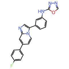 Fc1ccc(-c2ccn3c(-c4cccc(Nc5nnco5)c4)cnc3c2)cc1